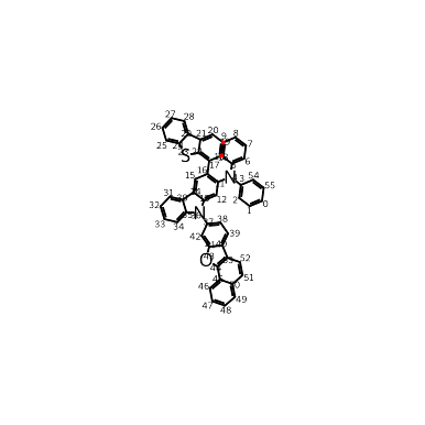 c1ccc(N(c2ccccc2)c2cc3c(cc2-c2cccc4c2sc2ccccc24)c2ccccc2n3-c2ccc3c(c2)oc2c4ccccc4ccc32)cc1